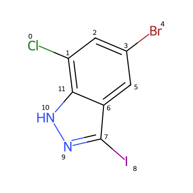 Clc1cc(Br)cc2c(I)n[nH]c12